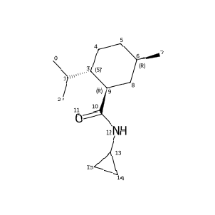 CC(C)[C@@H]1CC[C@@H](C)C[C@H]1C(=O)NC1CC1